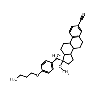 CCCCOc1ccc(C[C@]2(OC)CCC3C4CCc5cc(C#N)ccc5C4CC[C@@]32C)cc1